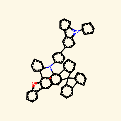 c1ccc(-n2c3ccccc3c3cc(-c4ccc(N(c5ccccc5-c5cccc6c5oc5ccccc56)c5cccc6c5-c5ccccc5C65c6ccccc6-c6ccccc65)cc4)ccc32)cc1